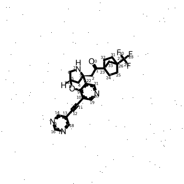 O=C(C[C@@]12C[C@@H](CN1)Oc1c(C#Cc3cncnc3)cncc12)C12CCC(C(F)(F)F)(CC1)C2